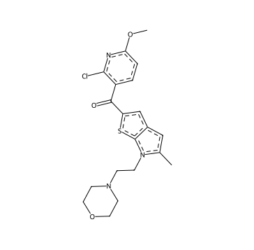 COc1ccc(C(=O)c2cc3cc(C)n(CCN4CCOCC4)c3s2)c(Cl)n1